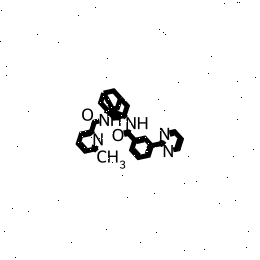 Cc1cccc(C(=O)NC23CC4CC(CC(NC(=O)c5cccc(-c6ncccn6)c5)(C4)C2)C3)n1